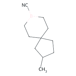 CC1CCC2(CCB(C#N)CC2)C1